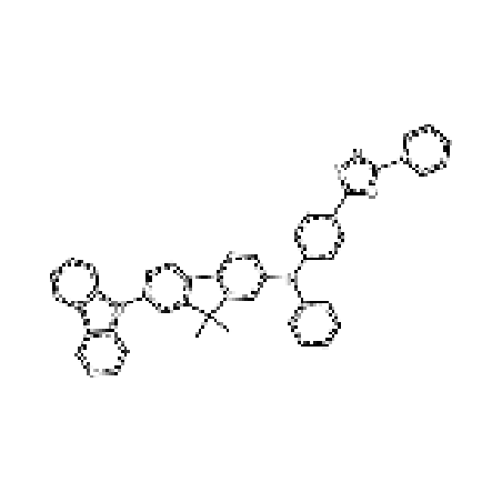 CC1(C)c2cc(N(c3ccccc3)c3ccc(-c4nnc(-c5ccccc5)o4)cc3)ccc2-c2ccc(-n3c4ccccc4c4ccccc43)cc21